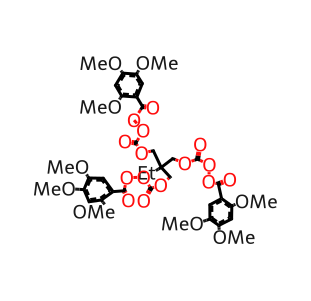 CCC(COC(=O)OOC(=O)c1cc(OC)c(OC)cc1OC)(COC(=O)OOC(=O)c1cc(OC)c(OC)cc1OC)COC(=O)OOC(=O)c1cc(OC)c(OC)cc1OC